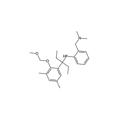 CCC(CC)(Pc1ccccc1CN(C)C)c1cc(C)cc(C)c1OCOC